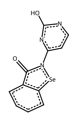 O=c1c2ccccc2[se]n1-c1ccnc(O)n1